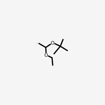 [CH2]C(OCC)OC(C)(C)C